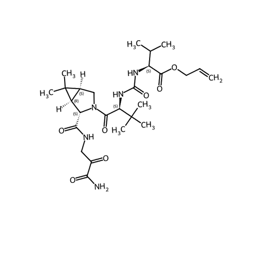 C=CCOC(=O)[C@@H](NC(=O)N[C@H](C(=O)N1C[C@H]2[C@@H]([C@H]1C(=O)NCC(=O)C(N)=O)C2(C)C)C(C)(C)C)C(C)C